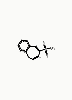 NS(=O)(=O)C1=Cc2ccccc2OC=C1